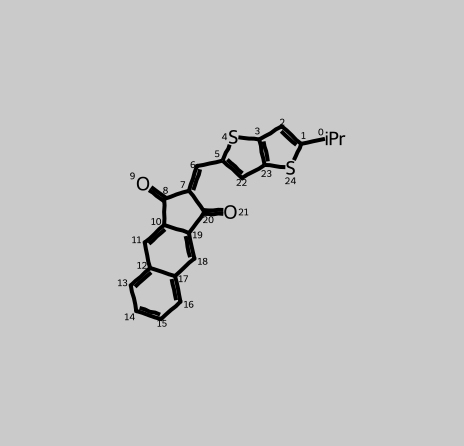 CC(C)c1cc2sc(C=C3C(=O)c4cc5ccccc5cc4C3=O)cc2s1